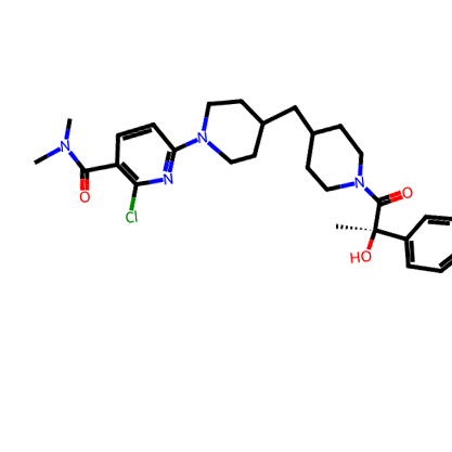 CN(C)C(=O)c1ccc(N2CCC(CC3CCN(C(=O)[C@](C)(O)c4ccccc4)CC3)CC2)nc1Cl